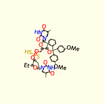 CC[C@H]1O[C@@H](n2cc(C)c(=O)[nH]c2=O)C[C@H]1OP(=S)(S)OC[C@H]1O[C@@H](n2cc(C)c(=O)[nH]c2=O)C[C@H]1OC(c1ccccc1)(c1ccc(OC)cc1)c1ccc(OC)cc1